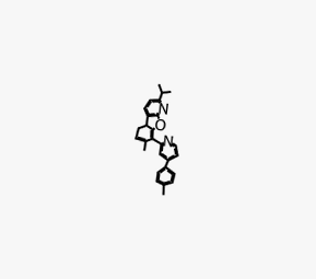 CC1=CCC2C(=C1c1cc(-c3ccc(C)cc3)ccn1)Oc1nc(C(C)C)ccc12